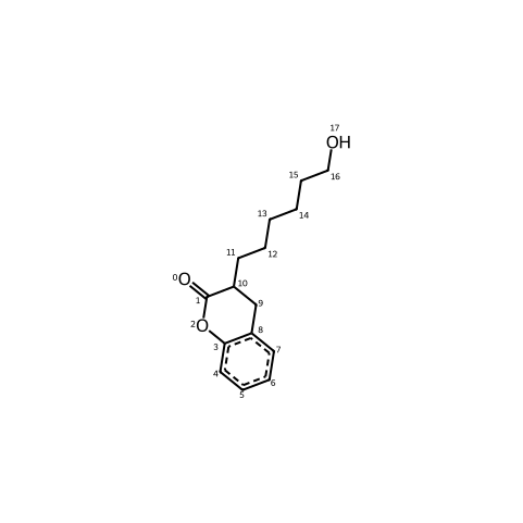 O=C1Oc2ccccc2CC1CCCCCCO